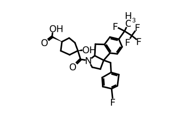 CC(F)(c1ccc2c(c1)CC1N(C(=O)[C@]3(O)CC[C@@H](C(=O)O)CC3)CCC21Cc1ccc(F)cc1)C(F)(F)F